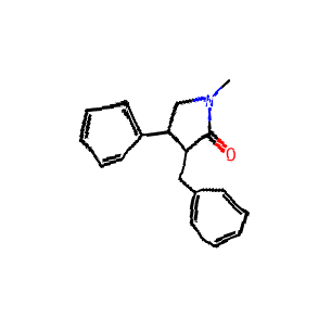 CN1CC(c2ccccc2)C(Cc2ccccc2)C1=O